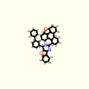 c1ccc(-c2cccc(-c3nc(-c4cccc5c6cccc7oc8cccc(c45)c8c76)nc4c3oc3ccccc34)c2)cc1